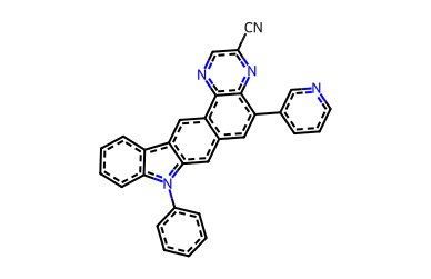 N#Cc1cnc2c(n1)c(-c1cccnc1)cc1cc3c(cc12)c1ccccc1n3-c1ccccc1